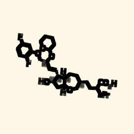 CCCC(CC[C@@H]1CC[C@@H]2[C@@H](C=C[C@H](COc3cc(F)ccc3F)OC3CCCCO3)[C@@H](O)C[C@@H]2OC1)C(=O)O